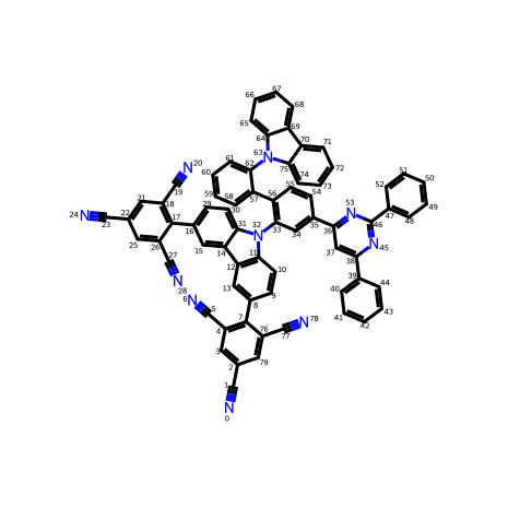 N#Cc1cc(C#N)c(-c2ccc3c(c2)c2cc(-c4c(C#N)cc(C#N)cc4C#N)ccc2n3-c2cc(-c3cc(-c4ccccc4)nc(-c4ccccc4)n3)ccc2-c2ccccc2-n2c3ccccc3c3ccccc32)c(C#N)c1